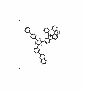 c1ccc(-c2ccc(-c3nc(-c4cccc(-c5ccc6ccccc6c5)c4)nc(-c4ccc5c6ccc7oc8cccc9c%10ccccc%10n(c5c4)c6c7c89)n3)cc2)cc1